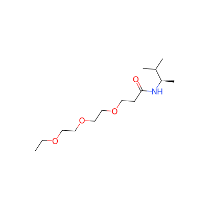 CCOCCOCCOCCC(=O)N[C@H](C)C(C)C